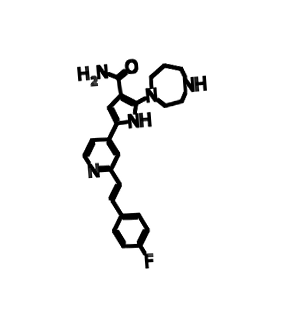 NC(=O)c1cc(-c2ccnc(C=Cc3ccc(F)cc3)c2)[nH]c1N1CCCNCC1